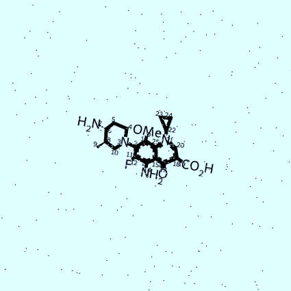 COc1c(N2CC[C@@H](N)[C@H](C)C2)c(F)c(N)c2c(=O)c(C(=O)O)cn(C3CC3)c12